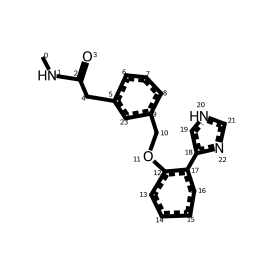 CNC(=O)Cc1cccc(COc2ccccc2-c2c[nH]cn2)c1